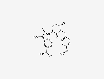 COc1ccc(CN2C(=O)CCC(n3c(=O)n(C)c4cc(B(O)O)ccc43)C2=O)cc1